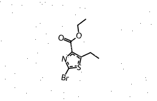 CCOC(=O)c1nc(Br)sc1CC